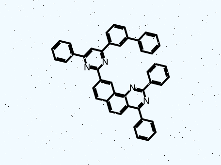 c1ccc(-c2cccc(-c3cc(-c4ccccc4)nc(-c4ccc5ccc6c(-c7ccccc7)nc(-c7ccccc7)nc6c5c4)n3)c2)cc1